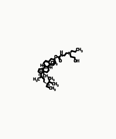 CCCN(CCO)CCNC(=O)O[C@H]1CC[C@@]2(C)C(=CC[C@H]3[C@@H]4CC[C@H]([C@H](C)CC[C@@H](CC)C(C)C)[C@@]4(C)CC[C@@H]32)C1